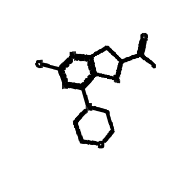 CC(=O)C1Cc2nc(Cl)nc(N3CCOCC3)c2S1